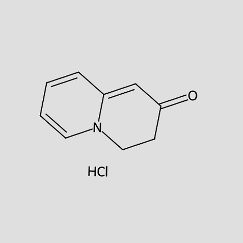 Cl.O=C1C=C2C=CC=CN2CC1